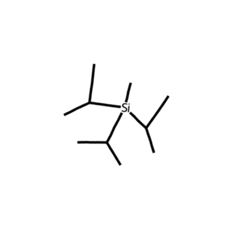 CC(C)[Si](C)(C(C)C)C(C)C